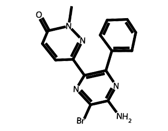 Cn1nc(-c2nc(Br)c(N)nc2-c2ccccc2)ccc1=O